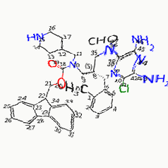 Cc1ccccc1C[C@H](CN(CC1CCNCC1)C(=O)OCC1c2ccccc2-c2ccccc21)CN(C=O)c1nc(Cl)c(N)nc1N